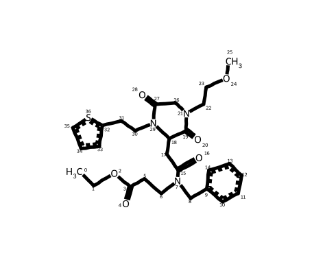 CCOC(=O)CCN(Cc1ccccc1)C(=O)CC1C(=O)N(CCOC)CC(=O)N1CCc1cccs1